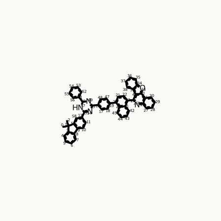 CC1(C)c2ccccc2-c2ccc(C3=NC(c4ccc(-c5ccc(-c6nc7ccccc7c7oc8ccccc8c67)c6ccccc56)cc4)=NC(c4ccccc4)N3)cc21